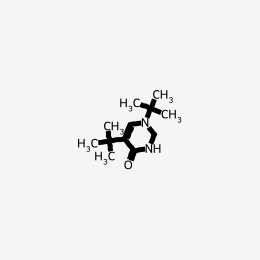 CC(C)(C)C1=CN(C(C)(C)C)CNC1=O